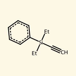 C#C[Si](CC)(CC)c1ccccc1